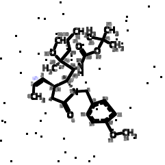 C/C=C\[C@@H]1CC(=O)N(Cc2ccc(OC)cc2)[C@H]1[C@@H](NC(=O)OC(C)(C)C)[C@](C)(CCC)OC